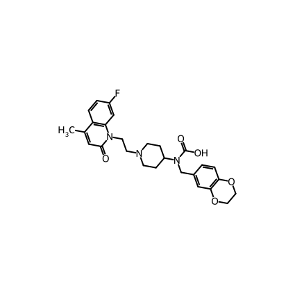 Cc1cc(=O)n(CCN2CCC(N(Cc3ccc4c(c3)OCCO4)C(=O)O)CC2)c2cc(F)ccc12